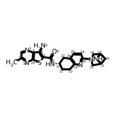 Cc1cnc2c(N)c(C(=O)N[C@H]3CCc4nc(N5CC6CC(C5)N6)ccc4C3)sc2n1